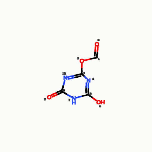 O=COc1nc(O)[nH]c(=O)n1